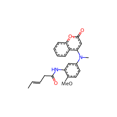 CC=CCC(=O)Nc1cc(N(C)c2cc(=O)oc3ccccc23)ccc1OC